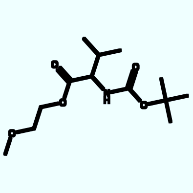 COCCOC(=O)C(NC(=O)OC(C)(C)C)C(C)C